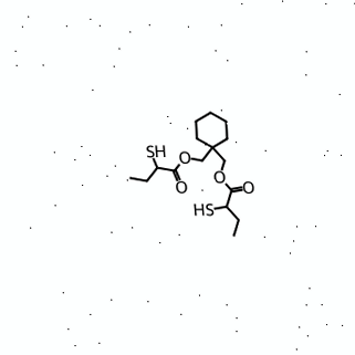 CCC(S)C(=O)OCC1(COC(=O)C(S)CC)CCCCC1